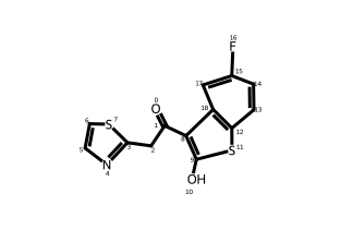 O=C(Cc1nccs1)c1c(O)sc2ccc(F)cc12